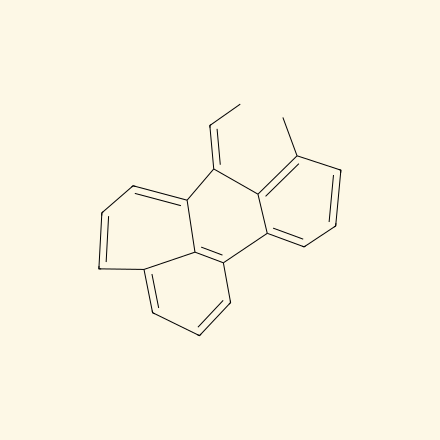 C/C=c1/c2cccc3cccc(c4cccc(C)c14)c32